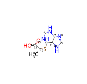 C[C@@H](SC1NCNC2N=CNC21)C(=O)O